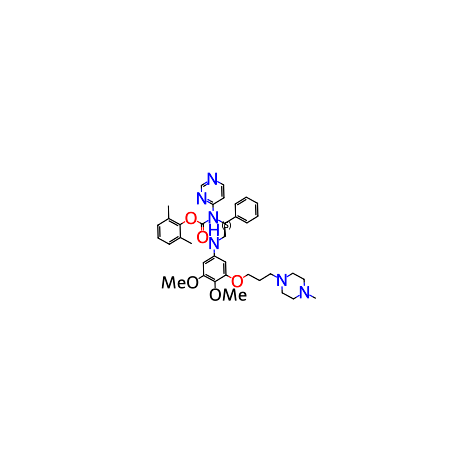 COc1cc(NC[C@H](c2ccccc2)N(C(=O)Oc2c(C)cccc2C)c2ccncn2)cc(OCCCN2CCN(C)CC2)c1OC